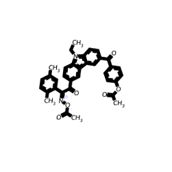 CCn1c2ccc(C(=O)/C(=N\OC(C)=O)c3cc(C)ccc3C)cc2c2cc(C(=O)c3ccc(OC(C)=O)cc3)ccc21